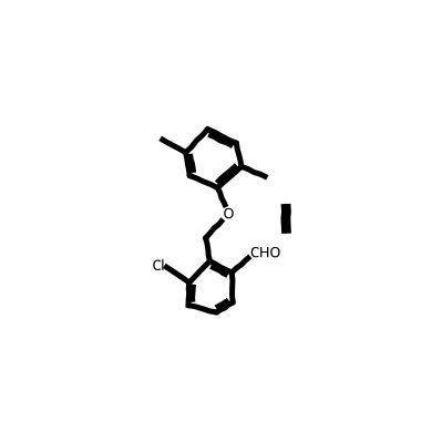 C=C.Cc1ccc(C)c(OCc2c(Cl)cccc2C=O)c1